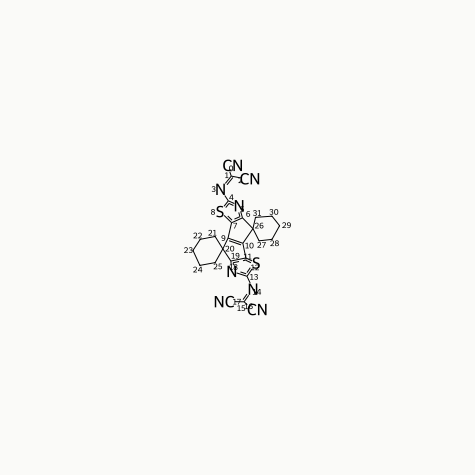 N#CC(C#N)=Nc1nc2c(s1)C1=C(c3sc(N=C(C#N)C#N)nc3C13CCCCC3)C21CCCCC1